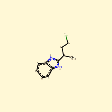 CC(CCBr)c1nc2ccccc2[nH]1